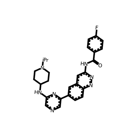 CC(C)N1CCC(Nc2cncc(-c3ccc4nnc(NC(=O)c5ccc(F)cc5)cc4c3)n2)CC1